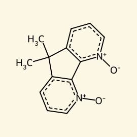 CC1(C)c2ccc[n+]([O-])c2-c2c1ccc[n+]2[O-]